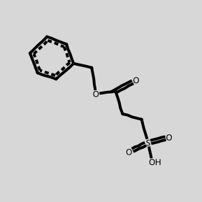 O=C(CCS(=O)(=O)O)OCc1ccccc1